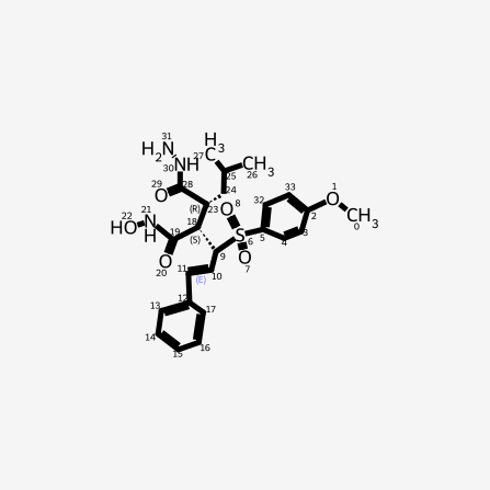 COc1ccc(S(=O)(=O)C(/C=C/c2ccccc2)[C@H](C(=O)NO)[C@@H](CC(C)C)C(=O)NN)cc1